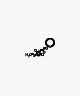 CCSC1CC(=O)N(CC(=O)COC2CCCCCCCCCC2)C1=O